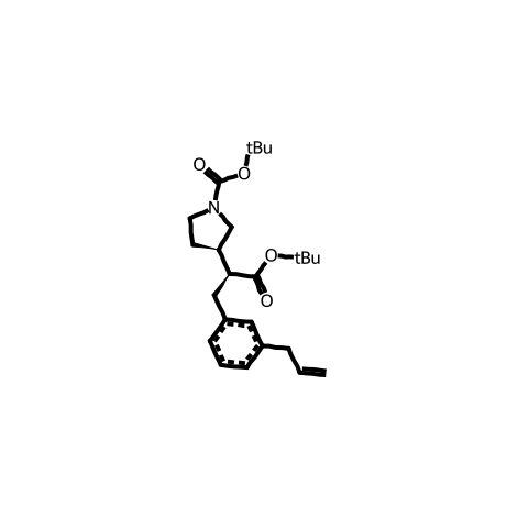 C=CCc1cccc(C[C@H](C(=O)OC(C)(C)C)[C@H]2CCN(C(=O)OC(C)(C)C)C2)c1